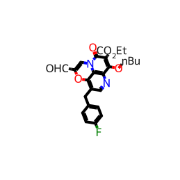 CCCCOc1c(C(=O)OCC)c(=O)n2c3c(c(Cc4ccc(F)cc4)cnc13)OC(C=O)=C2